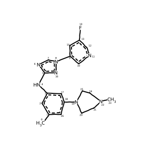 Cc1cc(Nc2ncn(-c3cncc(F)c3)n2)cc(N2CCN(C)CC2)c1